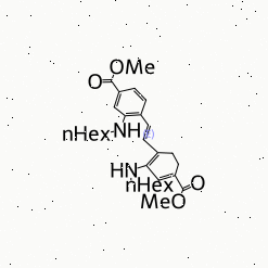 CCCCCCNC1=C(/C=C/c2ccc(C(=O)OC)cc2NCCCCCC)CCC(C(=O)OC)=C1